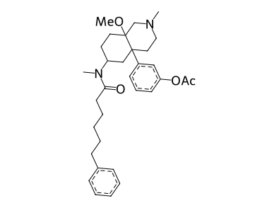 COC12CCC(N(C)C(=O)CCCCCc3ccccc3)CC1(c1cccc(OC(C)=O)c1)CCN(C)C2